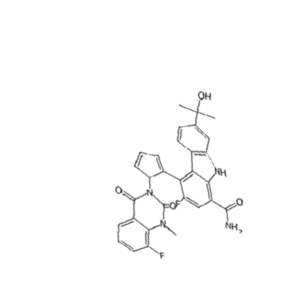 Cn1c(=O)n(C2C=CC=C2c2c(F)cc(C(N)=O)c3[nH]c4cc(C(C)(C)O)ccc4c23)c(=O)c2cccc(F)c21